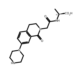 C[C@H](NC(=O)CN1CCc2ccc(N3CCNCC3)cc2C1=O)C(=O)O